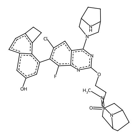 CN=S1(=O)CC2CCC(C1)N2CCCOc1nc(N2CC3CCC(C2)N3)c2cc(Cl)c(-c3cc(O)cc4ccc5c(c34)CC5)c(F)c2n1